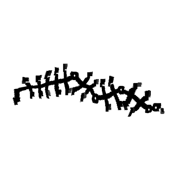 FCC(F)(F)C(F)(F)C(F)(F)C(F)(F)C(F)(F)OC(F)(F)C(F)(F)OC(F)(F)C(F)(F)OC(F)(F)C(F)(F)OC(F)(F)F